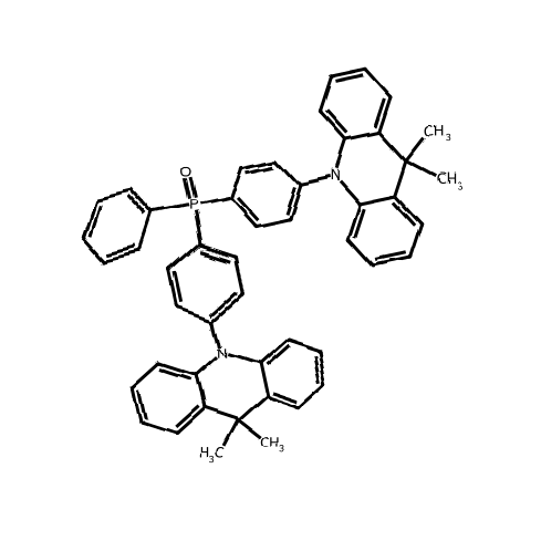 CC1(C)c2ccccc2N(c2ccc(P(=O)(c3ccccc3)c3ccc(N4c5ccccc5C(C)(C)c5ccccc54)cc3)cc2)c2ccccc21